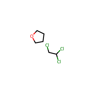 C1CCOC1.ClCC(Cl)Cl